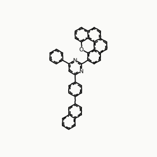 c1ccc(-c2cc(-c3ccc(-c4ccc5ccccc5c4)cc3)nc(-c3ccc4ccc5ccc6cccc7c6c5c4c3O7)n2)cc1